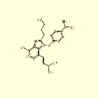 CCCCc1nc2c(N)nnc(C=CC(C)C)c2n1Cc1ccc(C(C)N)cc1